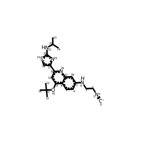 [C-]#[N+]CCNc1ccc2c(OC(C)(C)C)cc(-c3csc(NC(C)C)n3)nc2c1